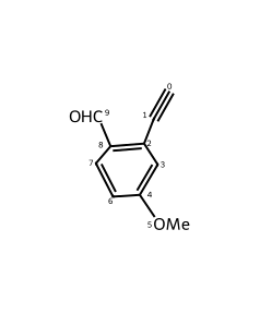 C#Cc1cc(OC)ccc1C=O